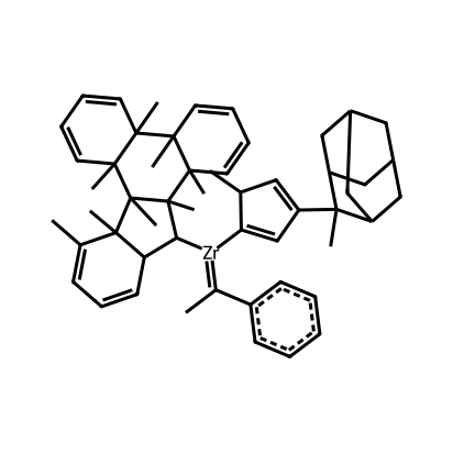 CC1=CC=CC2[CH]([Zr]([C]3=CC(C4(C)C5CC6CC(C5)CC4C6)=CC3C)=[C](C)c3ccccc3)C3(C)C4(C)C=CC=CC4(C)C4(C)C=CC=CC4(C)C3(C)C12C